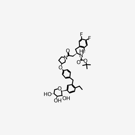 CCc1ccc([C@@H]2OC[C@@H](O)[C@H](O)[C@H]2O)cc1Cc1ccc(O[C@H]2CCN(C(=O)C[C@@H](Cc3cc(F)c(F)cc3F)NC(=O)OC(C)(C)C)C2)cc1